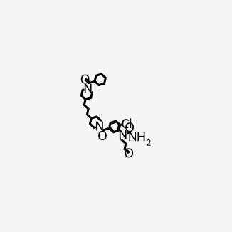 NC(=O)N(CCC=O)c1cc(C(=O)N2CCC(CCCC3CCN(C(=O)C4CCCCC4)CC3)CC2)ccc1Cl